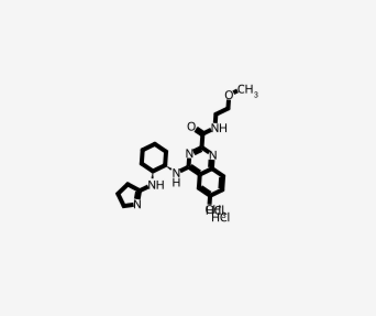 COCCNC(=O)c1nc(N[C@H]2CCCC[C@H]2NC2=NCCC2)c2cc(C)ccc2n1.Cl.Cl